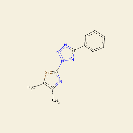 Cc1nc(-n2nnc(-c3ccccc3)n2)sc1C